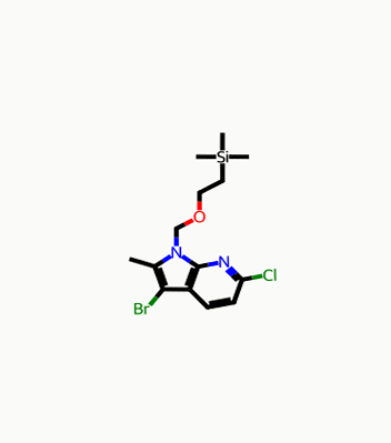 Cc1c(Br)c2ccc(Cl)nc2n1COCC[Si](C)(C)C